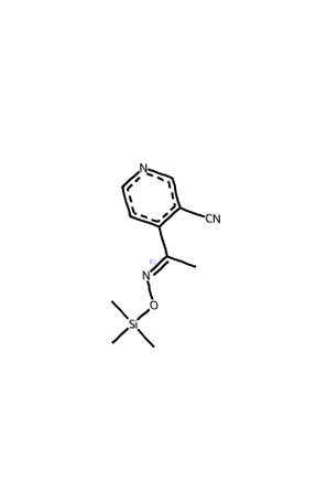 C/C(=N\O[Si](C)(C)C)c1ccncc1C#N